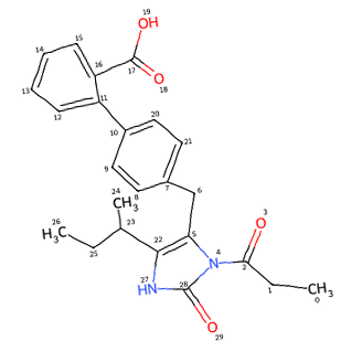 CCC(=O)n1c(Cc2ccc(-c3ccccc3C(=O)O)cc2)c(C(C)CC)[nH]c1=O